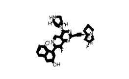 Oc1cc(-c2ncc3c(N4C[C@@H]5C[C@H]4CN5)nc(C#C[C@@]45CCCN4C[C@H](F)C5)nc3c2F)c2c(Cl)cccc2c1